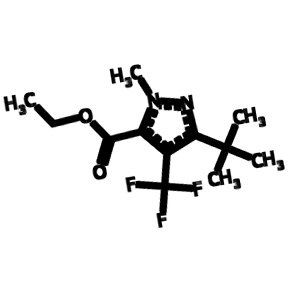 CCOC(=O)c1c(C(F)(F)F)c(C(C)(C)C)nn1C